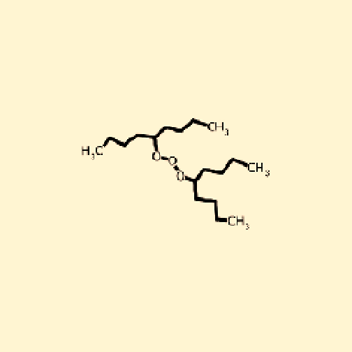 CCCCC(CCCC)OOOC(CCCC)CCCC